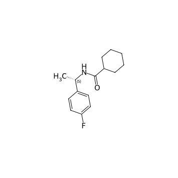 C[C@H](NC(=O)C1CCCCC1)c1ccc(F)cc1